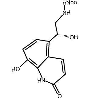 C[CH]CCCCCCCNC[C@H](O)c1ccc(O)c2[nH]c(=O)ccc12